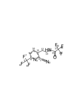 N#Cc1nc(C(F)(F)F)ccc1CCNC(=O)C(F)(F)F